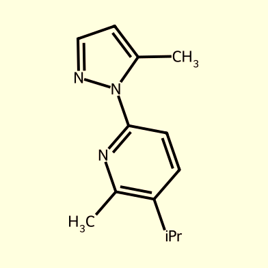 Cc1nc(-n2nccc2C)ccc1C(C)C